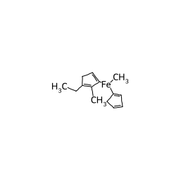 CCC1=C(C)[C]([Fe]([CH3])[C]2=CC=CC2)=CC1